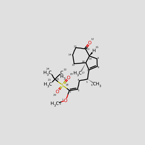 CO/C(=C/C[C@@H](C)C1=CC[C@H]2C(=O)CCC[C@]12C)S(=O)(=O)C(C)(C)C